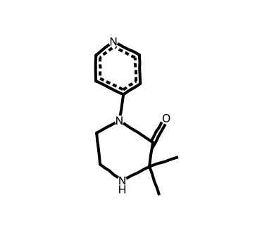 CC1(C)NCCN(c2ccncc2)C1=O